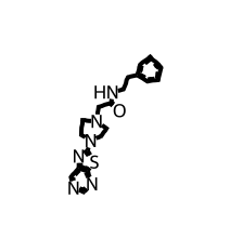 O=C(CN1CCN(c2nc3cncnc3s2)CC1)NCCc1ccccc1